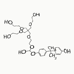 CC(C)(c1ccc(O)cc1)c1ccc(OC(O)OCCOCC(COCCO)(COCCO)COCCO)cc1